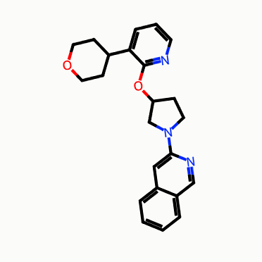 c1cnc(OC2CCN(c3cc4ccccc4cn3)C2)c(C2CCOCC2)c1